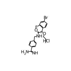 CCCO[C@H](C(=O)NCc1ccc(C(=N)N)cc1)c1ccc(Br)cc1F.Cl